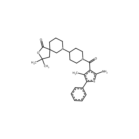 Cc1c(-c2ccccc2)sc(N)c1C(=O)N1CCC(N2CCCC3(C2)CC(C)(C)OC3=O)CC1